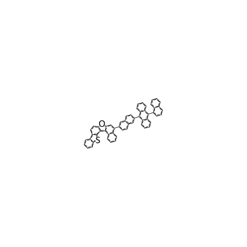 c1ccc2c(-c3c4ccccc4c(-c4ccc5cc(-c6cc7oc8ccc9c%10ccccc%10sc9c8c7c7ccccc67)ccc5c4)c4ccccc34)cccc2c1